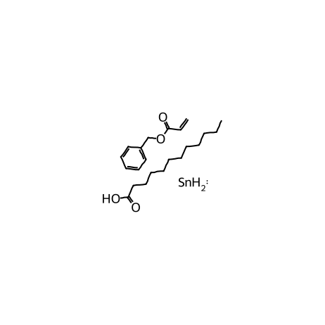 C=CC(=O)OCc1ccccc1.CCCCCCCCCCCC(=O)O.[SnH2]